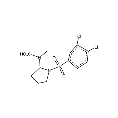 CN(C(=O)O)C1CCCN1S(=O)(=O)c1ccc(Cl)c(Cl)c1